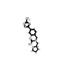 CCC(=O)N(Cc1ccc(-c2noc(C(F)(F)F)n2)cc1)CC1CCCO1